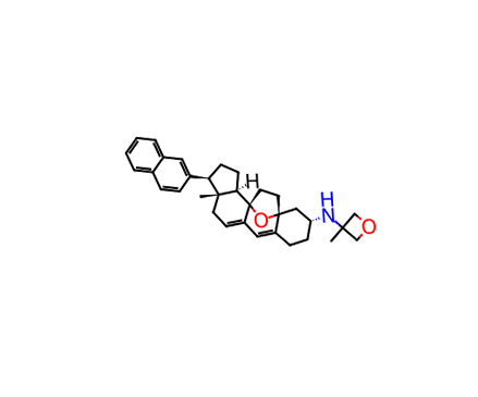 CC1(N[C@@H]2CCC3=CC4=CC[C@]5(C)[C@@H](c6ccc7ccccc7c6)CC[C@H]5[C@@]45CC[C@]3(C2)O5)COC1